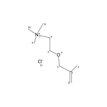 C=C(C)COCC[N+](C)(C)C.[Cl-]